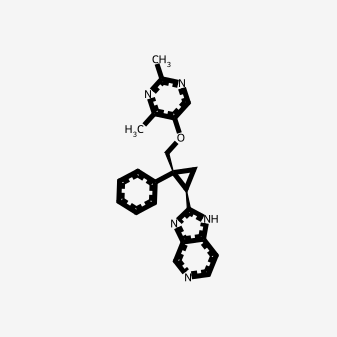 Cc1ncc(OC[C@@]2(c3ccccc3)C[C@H]2c2nc3cnccc3[nH]2)c(C)n1